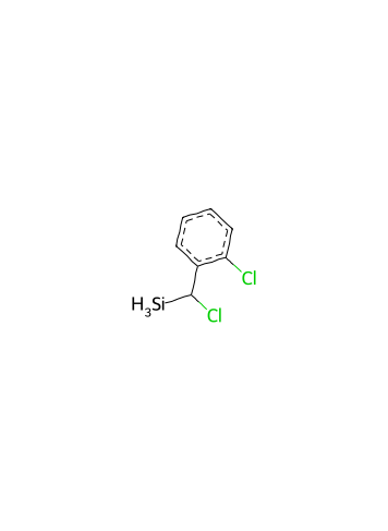 [SiH3]C(Cl)c1ccccc1Cl